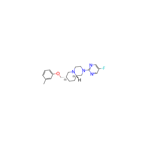 Cc1cccc(OC[C@H]2CC[C@H]3CN(c4ncc(F)cn4)CCN3C2)c1